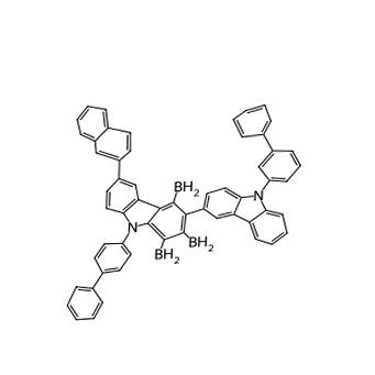 Bc1c(-c2ccc3c(c2)c2ccccc2n3-c2cccc(-c3ccccc3)c2)c(B)c2c3cc(-c4ccc5ccccc5c4)ccc3n(-c3ccc(-c4ccccc4)cc3)c2c1B